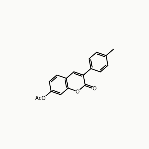 CC(=O)Oc1ccc2cc(-c3ccc(C)cc3)c(=O)oc2c1